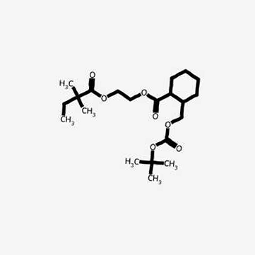 CCC(C)(C)C(=O)OCCOC(=O)C1CCCCC1COC(=O)OC(C)(C)C